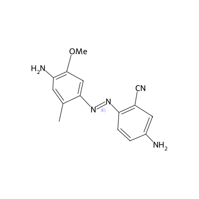 COc1cc(/N=N/c2ccc(N)cc2C#N)c(C)cc1N